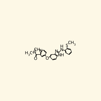 CSc1ccccc1Nc1nc2cc(Oc3ccnc(C(=O)N(C)C)c3)ccc2[nH]1